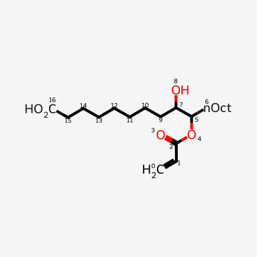 C=CC(=O)OC(CCCCCCCC)C(O)CCCCCCCC(=O)O